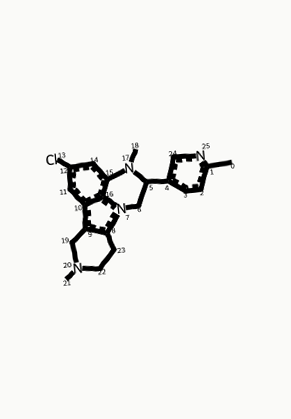 Cc1ccc(C2Cn3c4c(c5cc(Cl)cc(c53)N2C)CN(C)CC4)cn1